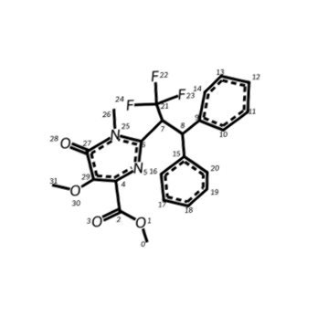 COC(=O)c1nc(C(C(c2ccccc2)c2ccccc2)C(F)(F)F)n(C)c(=O)c1OC